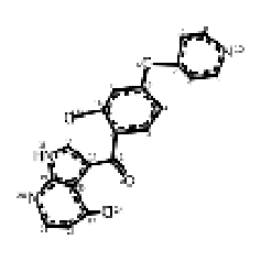 O=C(c1ccc(Oc2ccncc2)cc1Cl)c1c[nH]c2nccc(Cl)c12